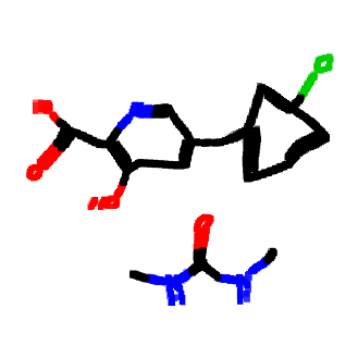 CNC(=O)NC.O=C(O)c1ncc(-c2cccc(Cl)c2)cc1O